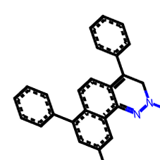 Cc1cc(-c2ccccc2)c2ccc3c(c2c1)=NN(C)CC=3c1ccccc1